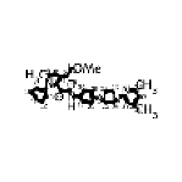 COCCc1cc(C)n(-c2ccccc2)c1C(=O)C(=O)Nc1ccc(N2CCN(c3cc(C)cc(C)n3)CC2)cc1